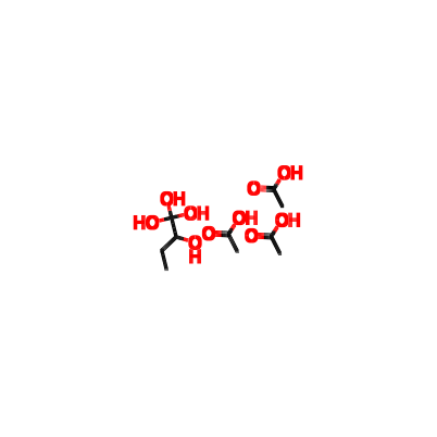 CC(=O)O.CC(=O)O.CC(=O)O.CCC(O)C(O)(O)O